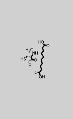 CN[C@@H](CS)C(=O)O.O=C(O)CCCCCCCCC(=O)O